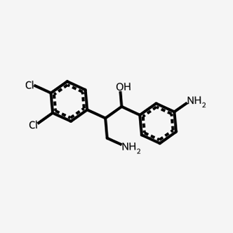 NCC(c1ccc(Cl)c(Cl)c1)C(O)c1cccc(N)c1